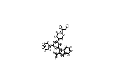 O=C(CCl)N1CCC(c2nc(N3CCOCC3)nc(-n3c(C(F)F)nc4ccccc43)n2)CC1